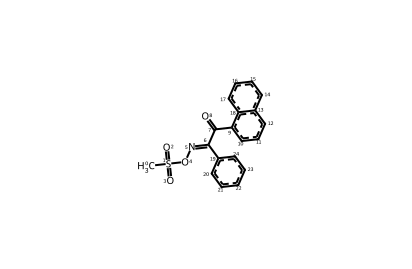 CS(=O)(=O)O/N=C(/C(=O)c1cccc2ccccc12)c1ccccc1